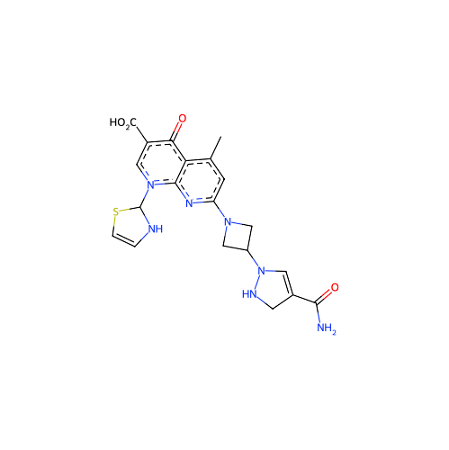 Cc1cc(N2CC(N3C=C(C(N)=O)CN3)C2)nc2c1c(=O)c(C(=O)O)cn2C1NC=CS1